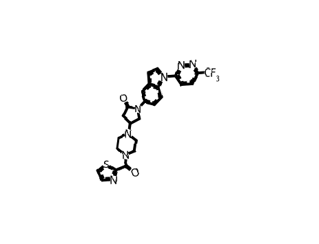 O=C(c1nccs1)N1CCN(C2CC(=O)N(c3ccc4c(ccn4-c4ccc(C(F)(F)F)nn4)c3)C2)CC1